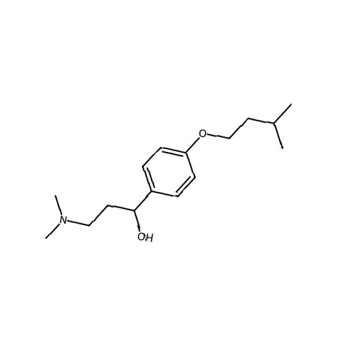 CC(C)CCOc1ccc(C(O)CCN(C)C)cc1